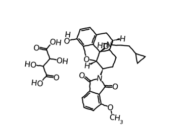 COc1cccc2c1C(=O)N([C@@H]1CC[C@@]3(O)[C@H]4Cc5ccc(O)c6c5[C@@]3(CCN4CC3CC3)[C@H]1O6)C2=O.O=C(O)C(O)C(O)C(=O)O